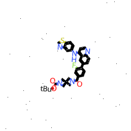 CC(C)(C)OC(=O)N1CC2(C1)CN(C(=O)c1ccc(-c3ccc4nccc(Nc5ccc6scnc6c5)c4c3)c(F)c1)C2